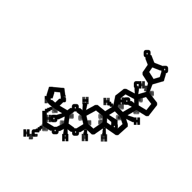 C[C@@H]1C[C@@]2(N=CCS2)[C@]2(O)O[C@@H]3C[C@@]4(C=O)[C@@H](CC[C@@H]5[C@@H]4CC[C@]4(C)[C@@H](C6=CC(=O)OC6)CC[C@]54O)C[C@H]3O[C@@H]2O1